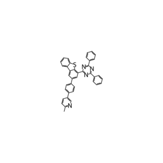 Cc1ccc(-c2ccc(-c3cc(-c4nc(-c5ccccc5)nc(-c5ccccc5)n4)c4sc5ccccc5c4c3)cc2)cn1